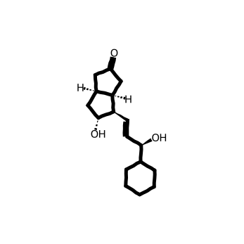 O=C1C[C@@H]2C[C@@H](O)[C@H](/C=C/[C@@H](O)C3CCCCC3)[C@@H]2C1